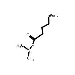 CCCCCCCCC(=O)CN(C)C